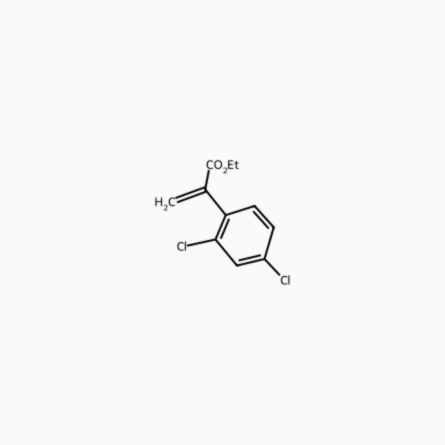 C=C(C(=O)OCC)c1ccc(Cl)cc1Cl